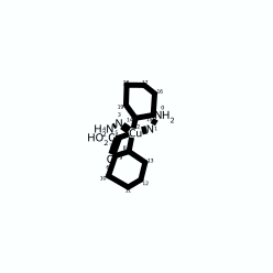 N[N]=[Cu](=[N]N)([C](=O)C(=O)O)([CH]1CCCCC1)[CH]1CCCCC1